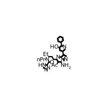 CCCN(C(=O)c1nnc[nH]1)[C@H](CC)CCc1nc2c(-c3cnc(-c4ccccc4)c(O)c3)cnn2c(N)c1C(C)=O